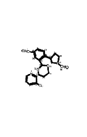 Clc1cccnc1.O=Cc1ccc(C2CCN(C=O)C2)c(C2OCCCO2)c1